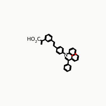 C=C(C(=O)O)c1cccc(C=Cc2ccc(N(C=C(c3ccccc3)c3ccccc3)c3ccccc3)cc2)c1